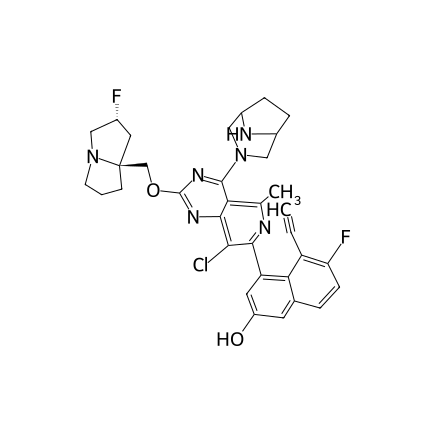 C#Cc1c(F)ccc2cc(O)cc(-c3nc(C)c4c(N5CC6CCC(C5)N6)nc(OC[C@@]56CCCN5C[C@H](F)C6)nc4c3Cl)c12